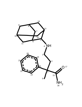 CC(CCNC1C2CC3CC(C2)CC1C3)(C(N)=O)c1ccccc1